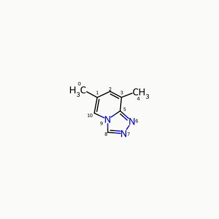 Cc1cc(C)c2nncn2c1